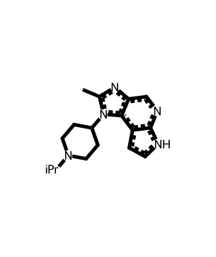 Cc1nc2cnc3[nH]ccc3c2n1C1CCN(C(C)C)CC1